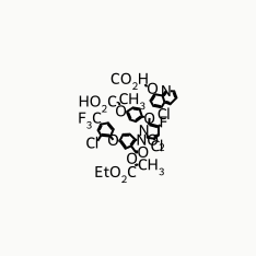 CCOC(=O)C(C)OC(=O)c1cc(Oc2ccc(C(F)(F)F)cc2Cl)ccc1[N+](=O)[O-].C[C@@H](Oc1ccc(Oc2ncc(Cl)cc2F)cc1)C(=O)O.O=C(O)COc1ccc(Cl)c2cccnc12